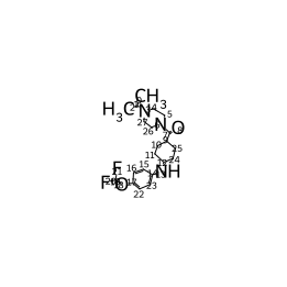 CC(C)N1CCN(C(=O)C2CCC(Nc3ccc(OC(F)F)cc3)CC2)CC1